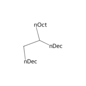 CCCCCCCCCCCC(CCCCCCCC)CCCCCCCCCC